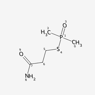 CP(C)(=O)SCCC(N)=O